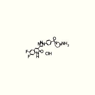 Cl.N[C@H]1CCCN(C(=O)c2ccc(-n3cc(-c4cc5cc(F)c(F)cc5[nH]c4=O)nn3)cc2)C1